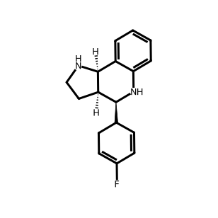 FC1=CCC([C@@H]2Nc3ccccc3[C@@H]3NCC[C@@H]32)C=C1